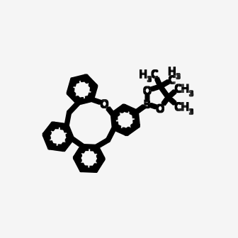 CC1(C)OB(c2ccc3c(c2)Oc2ccccc2Cc2ccccc2-c2ccccc2C3)OC1(C)C